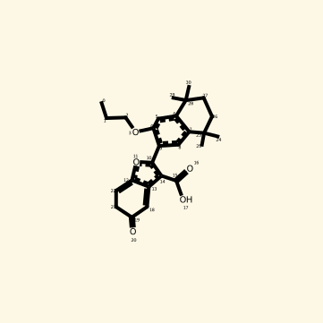 CCCOc1cc2c(cc1-c1oc3c(c1C(=O)O)=CC(=O)CC=3)C(C)(C)CCC2(C)C